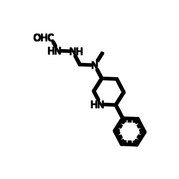 CN(CNNC=O)C1CCC(c2ccccc2)NC1